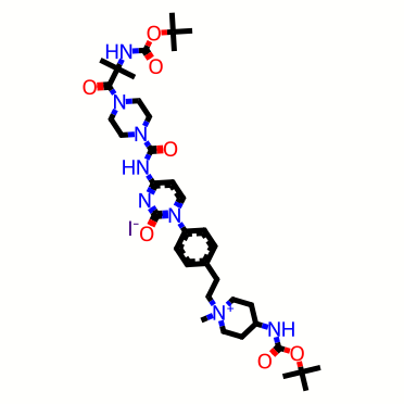 CC(C)(C)OC(=O)NC1CC[N+](C)(CCc2ccc(-n3ccc(NC(=O)N4CCN(C(=O)C(C)(C)NC(=O)OC(C)(C)C)CC4)nc3=O)cc2)CC1.[I-]